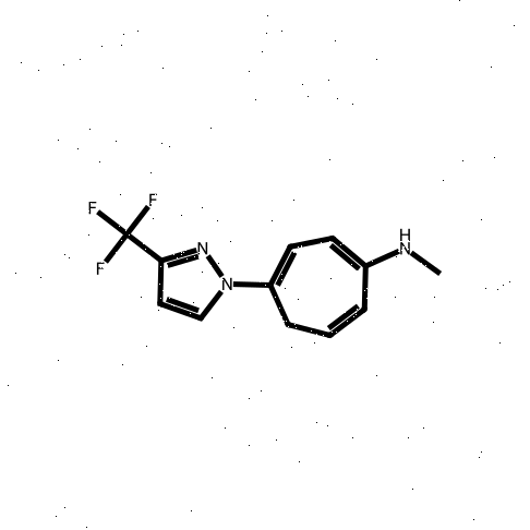 CNC1=CC=C(n2ccc(C(F)(F)F)n2)CC=C1